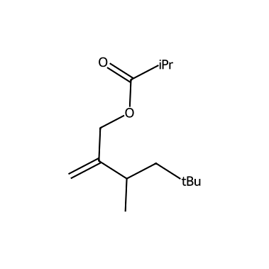 C=C(COC(=O)C(C)C)C(C)CC(C)(C)C